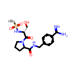 CCCCS(=O)(=O)N[C@H](CO)C(=O)N1CCCC1C(=O)NCc1ccc(C(=N)N)cc1